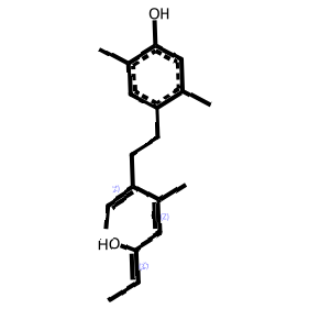 C/C=C(O)/C=C(C)\C(=C/C)CCc1cc(C)c(O)cc1C